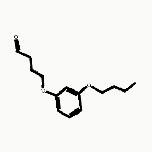 CCCCOc1cccc(OCCC[C]=O)c1